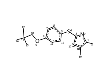 Cc1nc(Sc2ccc(OCC(C)(C)C)cc2)sc1C